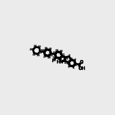 O=C(O)c1ccc2c(c1)Cc1c-2[nH]c2c(F)c(-c3ccc(N4CCCCC4)cc3)ccc12